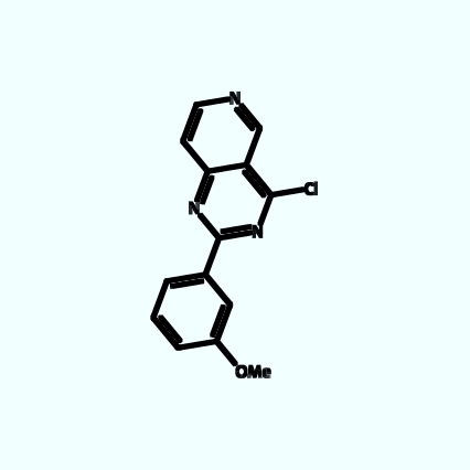 COc1cccc(-c2nc(Cl)c3cnccc3n2)c1